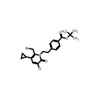 CC(C)(C)OC(=O)c1ccc(CCn2c(CBr)c(C3CC3)cc(Cl)c2=O)cc1